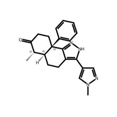 C[C@@H]1C(=O)CC[C@]2(c3ccccc3)c3n[nH]c(-c4cnn(C)c4)c3CC[C@@H]12